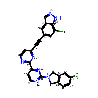 Fc1cc(C#Cc2ccnc(-c3ccnc(N4Cc5ccc(Cl)cc5C4)n3)n2)cc2cn[nH]c12